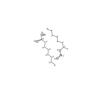 CCCCCCC(C)ON=O.CCCCCCCC(=O)O